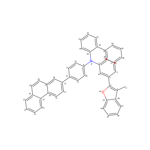 Cc1c(-c2cccc(N(c3ccc(-c4ccc5c(ccc6ccccc65)c4)cc3)c3ccccc3-c3ccccc3)c2)oc2ccccc12